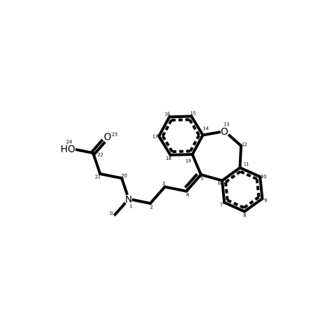 CN(CCC=C1c2ccccc2COc2ccccc21)CCC(=O)O